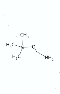 C[Si](C)(C)OCN